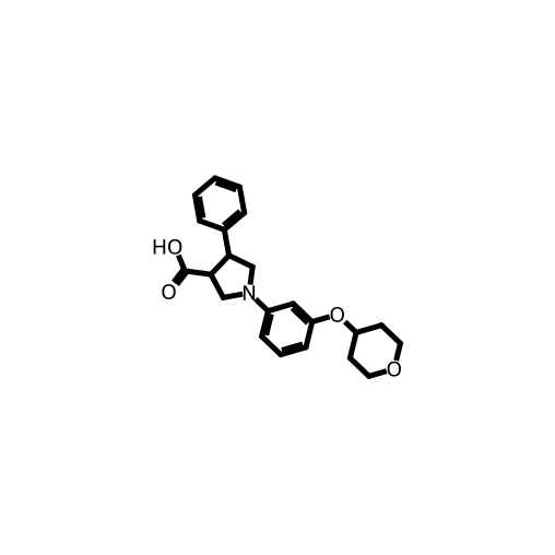 O=C(O)C1CN(c2cccc(OC3CCOCC3)c2)CC1c1ccccc1